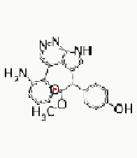 COC(=O)C(c1ccc(O)cc1)c1c[nH]c2nncc(-c3ccccc3N)c12